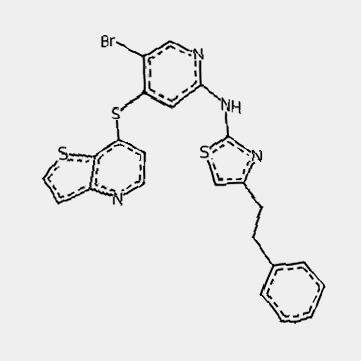 Brc1cnc(Nc2nc(CCc3ccccc3)cs2)cc1Sc1ccnc2ccsc12